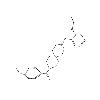 CCOc1ccccc1CN1CCC2(CC1)CCN(C(=O)c1ccc(OC)cc1)CC2